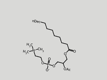 CCCCCCCCCCCCCCCCCC(=O)OCC(COP(=O)([O-])OCC[N+](C)(C)C)OC(C)=O